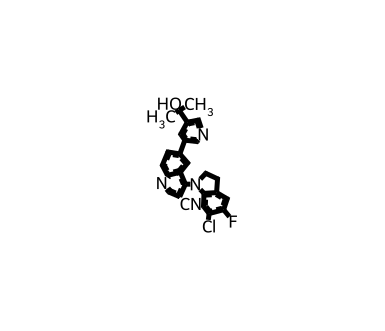 CC(C)(O)c1cncc(-c2ccc3ncc(C#N)c(N4CCc5cc(F)c(Cl)cc54)c3c2)c1